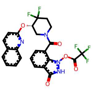 O=C(c1cccc2c(=O)[nH]n(OC(=O)C(F)(F)F)c12)N1CCC(F)(F)[C@@H](Oc2ccc3ccccc3n2)C1